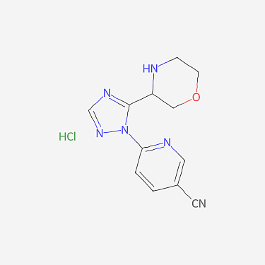 Cl.N#Cc1ccc(-n2ncnc2C2COCCN2)nc1